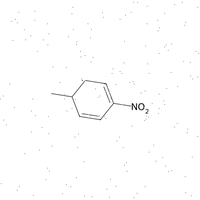 CC1[CH]C=C([N+](=O)[O-])C=C1